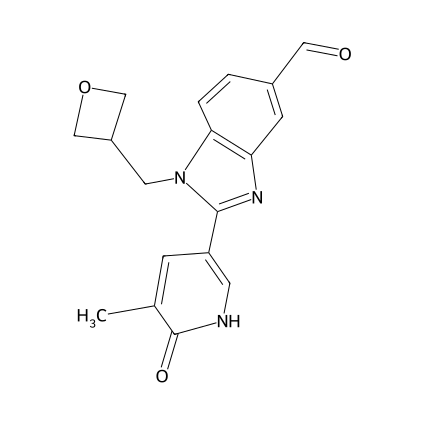 Cc1cc(-c2nc3cc(C=O)ccc3n2CC2COC2)c[nH]c1=O